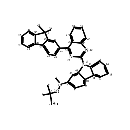 CB(OC(C)(C)C(C)(C)C)c1ccc2c3ccccc3n(-c3nc(-c4ccc5c(c4)C(C)(C)c4ccccc4-5)c4ccccc4n3)c2c1